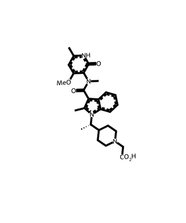 COc1cc(C)[nH]c(=O)c1N(C)C(=O)c1c(C)n([C@@H](C)C2CCN(CC(=O)O)CC2)c2ccccc12